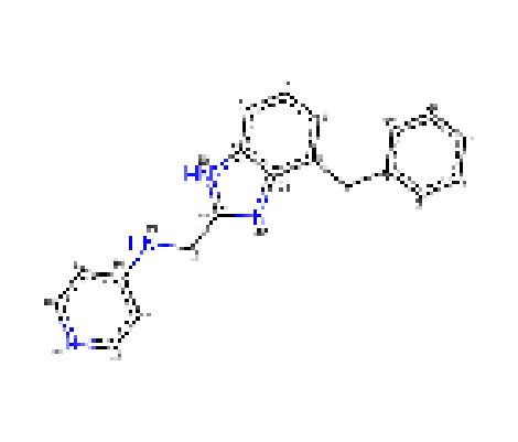 c1ccc(Cc2cccc3[nH]c(CNc4ccncc4)nc23)cc1